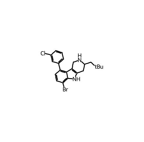 CC(C)(C)CC1Cc2[nH]c3c(Br)ccc(-c4cccc(Cl)c4)c3c2CN1